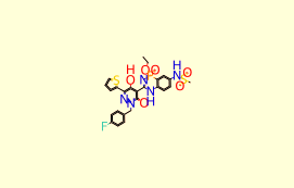 CCOP1(=O)N=C(c2c(O)c(-c3cccs3)nn(Cc3ccc(F)cc3)c2=O)Nc2ccc(NS(C)(=O)=O)cc21